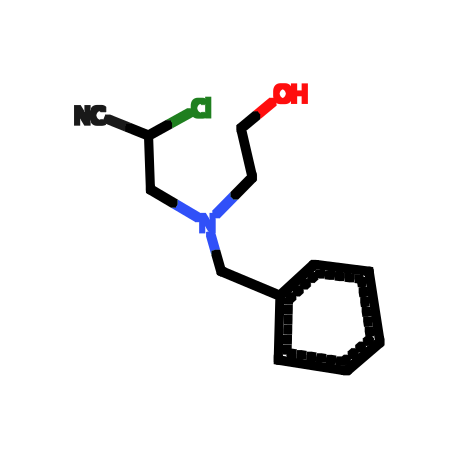 N#CC(Cl)CN(CCO)Cc1ccccc1